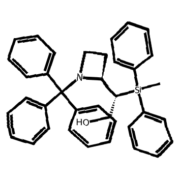 C[Si](c1ccccc1)(c1ccccc1)[C@H](CO)[C@@H]1CCN1C(c1ccccc1)(c1ccccc1)c1ccccc1